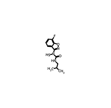 CC(C)CNC(=O)N(S)c1noc2c(F)cccc12